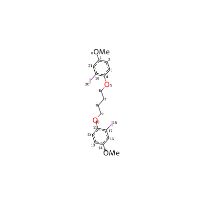 COc1ccc(OCCCCOc2ccc(OC)cc2I)c(I)c1